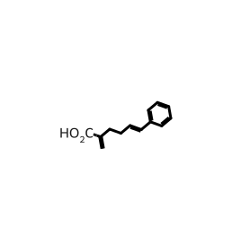 C=C(CCC=Cc1ccccc1)C(=O)O